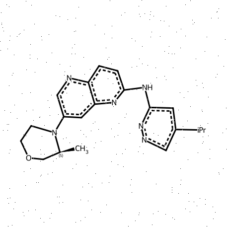 CC(C)c1cnnc(Nc2ccc3ncc(N4CCOC[C@@H]4C)cc3n2)c1